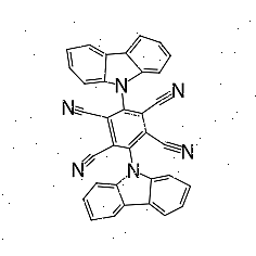 N#Cc1c(C#N)c(-n2c3ccccc3c3ccccc32)c(C#N)c(C#N)c1-n1c2ccccc2c2ccccc21